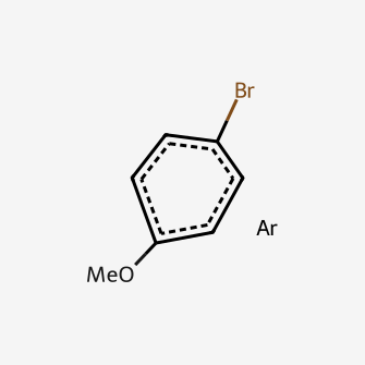 COc1ccc(Br)cc1.[Ar]